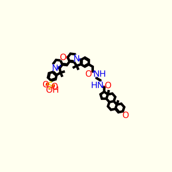 CC1(C)C2=C3C=C4C5=[N+](CCC4OC3CCN2c2ccc(CC(=O)NCCNC(=O)C3CCC4C6CCC7=CC(=O)CCC7(C)C6CCC34C)cc21)c1ccc(S(=O)(=O)O)cc1C5(C)C